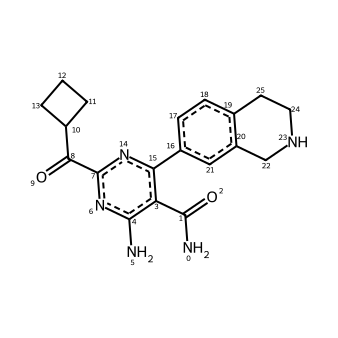 NC(=O)c1c(N)nc(C(=O)C2CCC2)nc1-c1ccc2c(c1)CNCC2